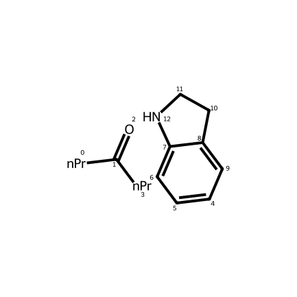 CCCC(=O)CCC.c1ccc2c(c1)CCN2